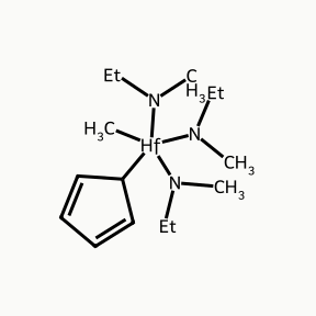 CC[N](C)[Hf]([CH3])([CH]1C=CC=C1)([N](C)CC)[N](C)CC